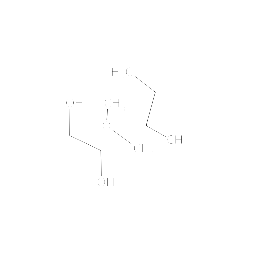 CCCC.COC.OCCO